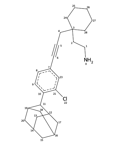 NCCC1(CC#Cc2ccc(C3C4CC5CC(C4)CC3C5)c(Cl)c2)CCCCC1